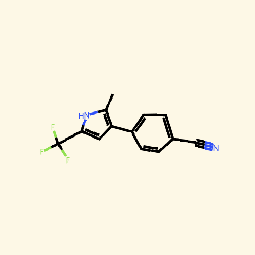 Cc1[nH]c(C(F)(F)F)cc1-c1ccc(C#N)cc1